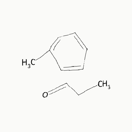 CCC=O.Cc1ccccc1